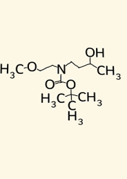 COCCN(CCC(C)O)C(=O)OC(C)(C)C